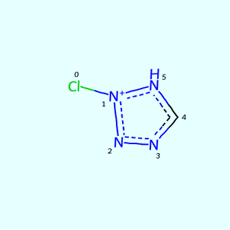 Cl[n+]1nnc[nH]1